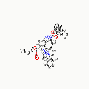 COC(=O)C[C@H](C)N(Cc1ccccc1)c1ccc(NC(=O)OC(C)(C)C)c2ccccc12